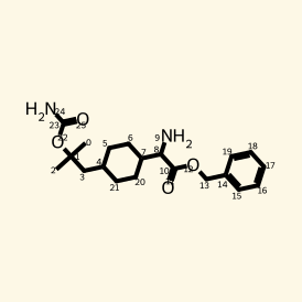 CC(C)(CC1CCC(C(N)C(=O)OCc2ccccc2)CC1)OC(N)=O